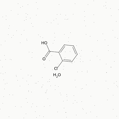 O.O=C(O)c1ccccc1Cl